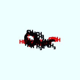 C=C1CC2CC[C@@]34C[C@]5(O)O[C@H]6C(O3)[C@H]3O[C@H](CC[C@@H]3O[C@H]6C5O4)CC(=O)O[C@@H]3[C@@H](C)[C@@H]4O[C@@H]5C[C@]6(C[C@@H]7OC8(C[C@H](C)[C@@H]9O[C@H]([C@@H](O)C[C@@H](O)CO)C[C@@H]9O8)C[C@H](C)[C@@H]7O6)OC5C[C@@H]4O[C@H]3CC3O[C@@H](CCC1O2)C[C@@H](C)C3=C